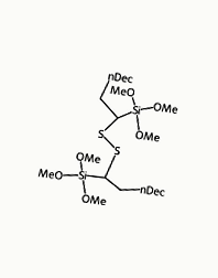 CCCCCCCCCCCC(SSC(CCCCCCCCCCC)[Si](OC)(OC)OC)[Si](OC)(OC)OC